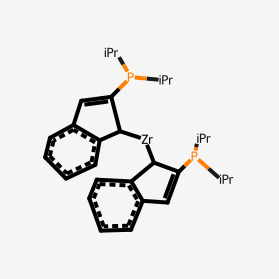 CC(C)P(C1=Cc2ccccc2[CH]1[Zr][CH]1C(P(C(C)C)C(C)C)=Cc2ccccc21)C(C)C